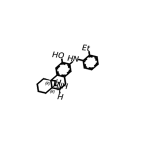 CCc1ccccc1Nc1cc2c(cc1O)[C@@]13CCCC[C@H]1[C@@H](C2)NCC3